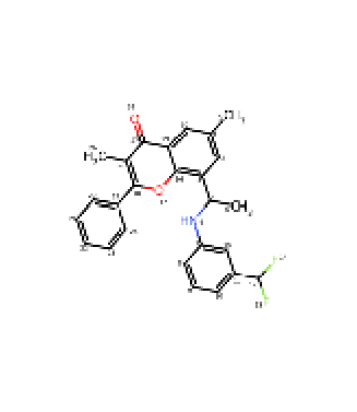 Cc1cc(C(C)Nc2cccc(C(F)F)c2)c2oc(-c3ccccc3)c(C)c(=O)c2c1